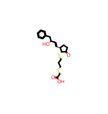 O=C(O)CSCCCS[C@H]1C(=O)CC[C@@H]1C=C[C@@H](O)Cc1ccccc1